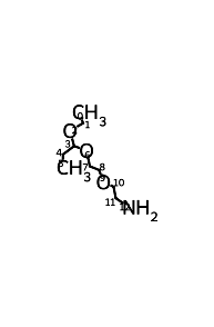 CCOC(CC)OCCOCCN